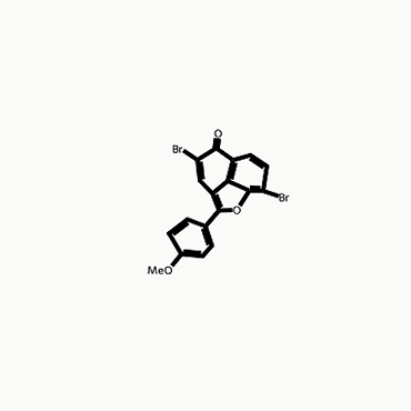 COc1ccc(-c2oc3c(Br)ccc4c3c2C=C(Br)C4=O)cc1